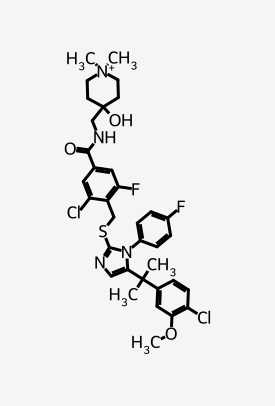 COc1cc(C(C)(C)c2cnc(SCc3c(F)cc(C(=O)NCC4(O)CC[N+](C)(C)CC4)cc3Cl)n2-c2ccc(F)cc2)ccc1Cl